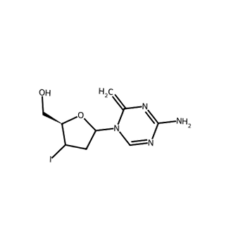 C=C1N=C(N)N=CN1C1CC(I)[C@@H](CO)O1